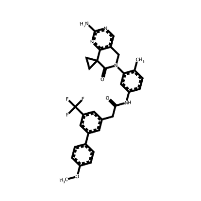 COc1ccc(-c2cc(CC(=O)Nc3ccc(C)c(N4Cc5cnc(N)nc5C5(CC5)C4=O)c3)cc(C(F)(F)F)c2)cc1